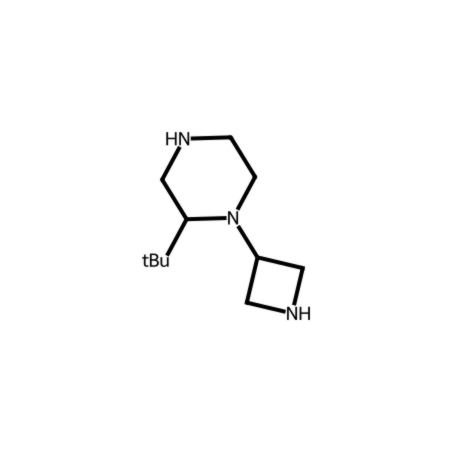 CC(C)(C)C1CNCCN1C1CNC1